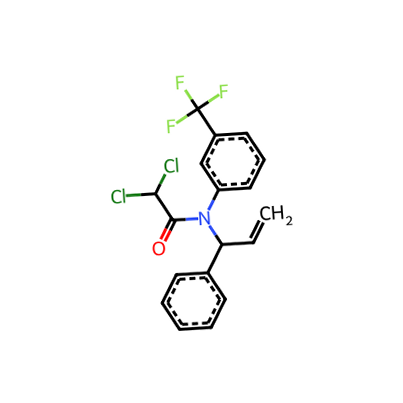 C=CC(c1ccccc1)N(C(=O)C(Cl)Cl)c1cccc(C(F)(F)F)c1